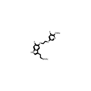 COc1ncc(OCCOc2cc3c(CCNC(C)=O)c[nH]c3cc2F)cc1F